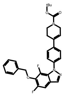 CC(C)(C)OC(=O)N1CC=C(c2ccc(-n3ncc4cc(F)c(OCc5ccccc5)c(F)c43)cc2)CC1